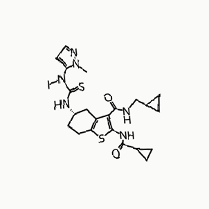 Cn1nccc1N(I)C(=S)N[C@H]1CCc2sc(NC(=O)C3CC3)c(C(=O)NCC3CC3)c2C1